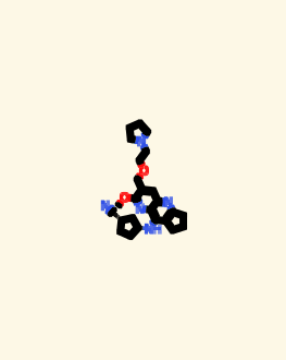 COc1nc2c(N[C@@H]3CC[C@H](C#N)C3)c3c(nc2cc1COCCN1CCCC1)CCC3